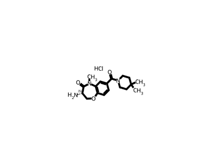 CN1C(=O)[C@@H](N)COc2ccc(C(=O)N3CCC(C)(C)CC3)cc21.Cl